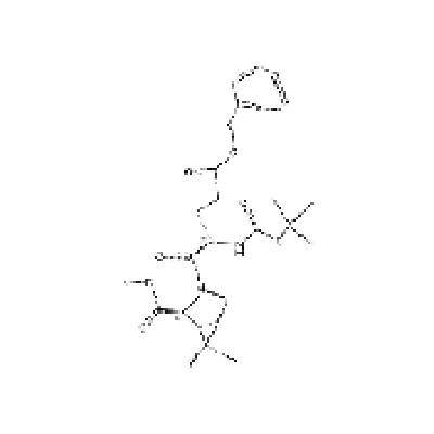 COC(=O)[C@@H]1C2C(CN1C(=O)[C@H](CCC(=O)OCc1ccccc1)NC(=O)OC(C)(C)C)C2(C)C